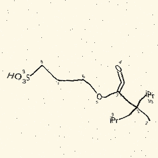 CC(C)C(C)(C(=O)OCCCS(=O)(=O)O)C(C)C